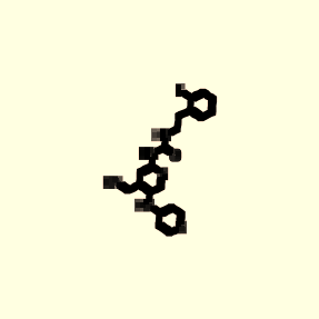 N=Cc1cc(NC(=O)NCCc2ccccc2F)ncc1Nc1ccncc1